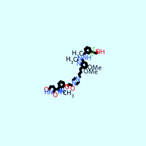 COc1cc2c(NC(C)c3cccc(C(F)(F)CO)c3)nc(C)nc2c(CCCCN2CCN(C(=O)COc3cccc4c(C5CCC(=O)NC5=O)nn(C)c34)CC2)c1OC